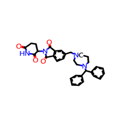 O=C1CCC(N2C(=O)c3ccc(CN4CCCN(C(c5ccccc5)c5ccccc5)CC4)cc3C2=O)C(=O)N1